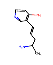 CC(N)C/C=C/c1cnccc1O